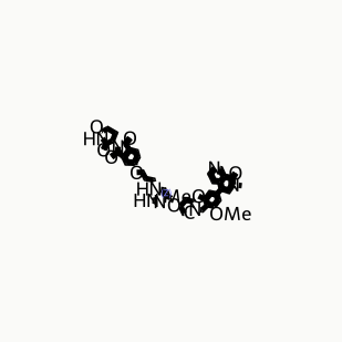 COc1cc(-c2cn(C)c(=O)c3cnccc23)cc(OC)c1CN1CCC(OC/C(=C/NCCCOc2ccc3c(c2)C(=O)N(C2CCC(=O)NC2=O)C3=O)N=N)CC1